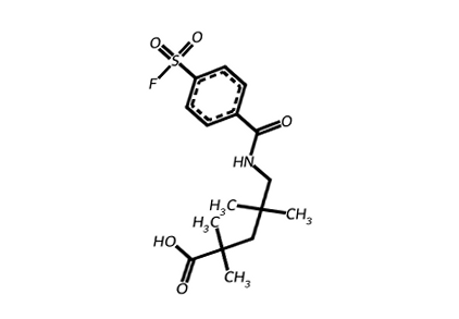 CC(C)(CNC(=O)c1ccc(S(=O)(=O)F)cc1)CC(C)(C)C(=O)O